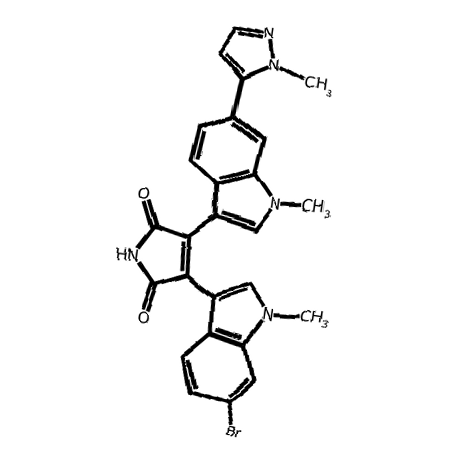 Cn1nccc1-c1ccc2c(C3=C(c4cn(C)c5cc(Br)ccc45)C(=O)NC3=O)cn(C)c2c1